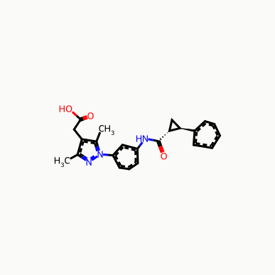 Cc1nn(-c2cccc(NC(=O)[C@@H]3C[C@H]3c3ccccc3)c2)c(C)c1CC(=O)O